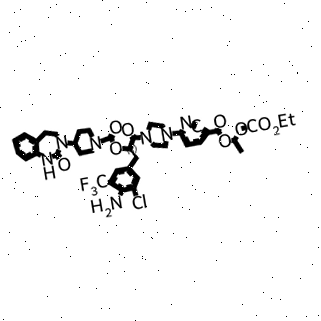 CCOC(=O)OC(C)OC(=O)c1ccc(N2CCN(C(=O)[C@@H](Cc3cc(Cl)c(N)c(C(F)(F)F)c3)OC(=O)N3CCC(N4CCc5ccccc5NC4=O)CC3)CC2)nc1